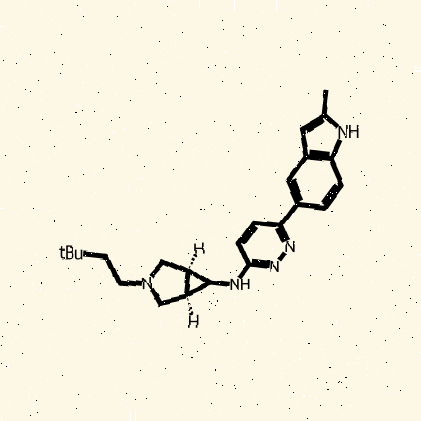 Cc1cc2cc(-c3ccc(NC4[C@H]5CN(CCC(C)(C)C)C[C@@H]45)nn3)ccc2[nH]1